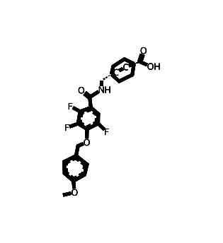 COc1ccc(COc2c(F)cc(C(=O)NC[C@]34CC[C@](C(=O)O)(CC3)CC4)c(F)c2F)cc1